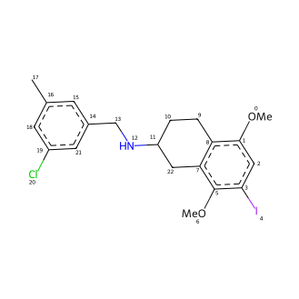 COc1cc(I)c(OC)c2c1CCC(NCc1cc(C)cc(Cl)c1)C2